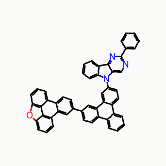 c1ccc(-c2ncc3c(n2)c2ccccc2n3-c2ccc3c4ccccc4c4ccc(-c5ccc6c(c5)c5cccc7oc8cccc6c8c75)cc4c3c2)cc1